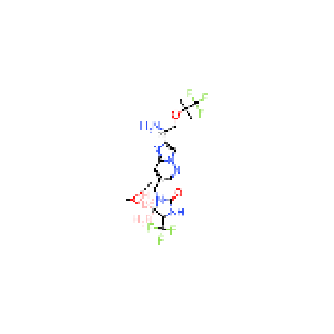 BC1(B)C(C(F)(F)F)NC(=O)N1[C@H](COC)c1cnn2cc([C@@H](N)COC(C)(C)C(F)(F)F)nc2c1